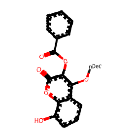 CCCCCCCCCCOc1c(OC(=O)c2ccccc2)c(=O)oc2c(O)cccc12